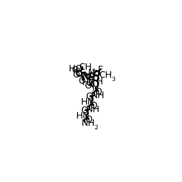 CC[C@@]1(O)C(=O)OCc2c1cc1n(c2=O)Cc2c-1nc1cc(F)c(C)c3c1c2[C@H]1NC(=O)CN(C(=O)CNC(=O)CNC(=O)CNC(=O)CNC(=O)CN)CC[C@H]1C3